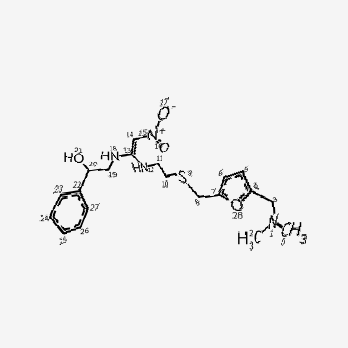 CN(C)Cc1ccc(CSCCNC(=C[N+](=O)[O-])NCC(O)c2ccccc2)o1